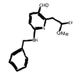 CCC(Cc1nc(BCc2ccccc2)ccc1C=O)OC